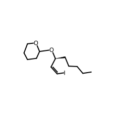 CCCCC[C@@H](/C=C\I)OC1CCCCO1